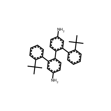 CC(C)(C)c1ccccc1-c1cc(N)ccc1-c1ccc(N)cc1-c1ccccc1C(C)(C)C